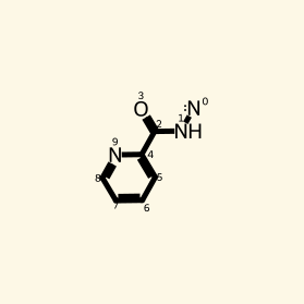 [N]NC(=O)c1ccccn1